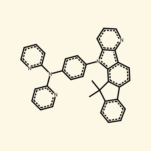 CC1(C)c2ccccc2-c2ccc3c4ncccc4n(-c4ccc(N(c5ccccn5)c5ccccn5)cc4)c3c21